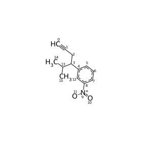 C#CCC(c1cccc([N+](=O)[O-])c1)C(C)C